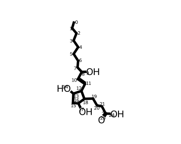 CCCCCCCCC(O)C=CC1C(O)CC(O)C1CCCC(=O)O